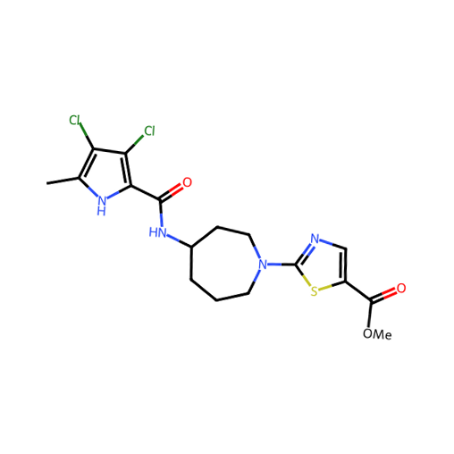 COC(=O)c1cnc(N2CCCC(NC(=O)c3[nH]c(C)c(Cl)c3Cl)CC2)s1